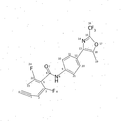 C#C/C=C(F)\C(C(=O)Nc1ccc(-c2nc(C(F)(F)F)oc2C)cc1)=C(/C)F